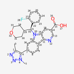 Cc1nnn(C)c1-c1ccc2c3ncc(C(=O)O)cc3n([C@H](c3ccccc3F)C3CCOCC3)c2c1